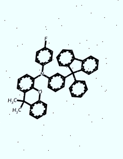 CC1(C)c2ccccc2Oc2c(N(c3ccc(F)cc3)c3cccc(C4(c5ccccc5)c5ccccc5-c5ccccc54)c3)cccc21